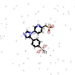 CCS(=O)(=O)c1ccc(-c2cncn2-c2ccc(C[SH](=O)=O)nc2)cc1